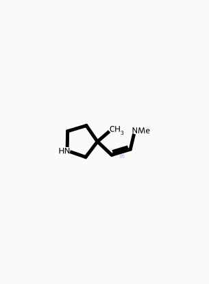 CN/C=C\C1(C)CCNC1